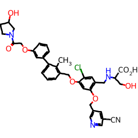 Cc1c(COc2cc(OCc3cncc(C#N)c3)c(CNC(CO)C(=O)O)cc2Cl)cccc1-c1cccc(OCC(=O)N2CCC(O)C2)c1